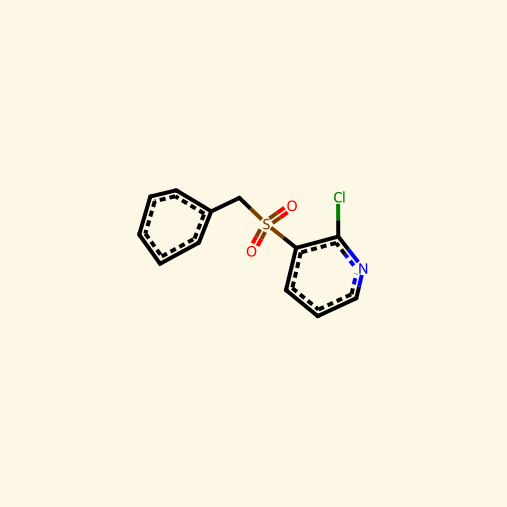 O=S(=O)(Cc1ccccc1)c1cccnc1Cl